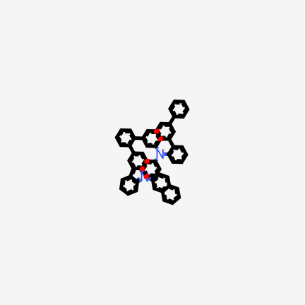 c1ccc(-c2cccc(-c3ccccc3N(c3ccccc3)c3cccc(-c4ccccc4-c4ccc5c(c4)c4ccccc4n5-c4ccc5ccccc5c4)c3)c2)cc1